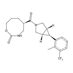 Cc1c([C@H]2[C@@H]3CN(C(=O)[C@@H]4CCCOC(=O)NC4)C[C@@H]32)cccc1C(F)(F)F